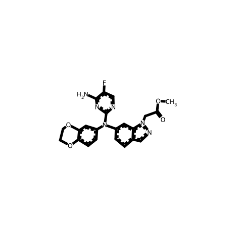 COC(=O)Cn1ncc2ccc(N(c3ccc4c(c3)OCCO4)c3ncc(F)c(N)n3)cc21